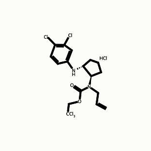 C=CCN(C(=O)OCC(Cl)(Cl)Cl)[C@@H]1CCC[C@H]1Nc1ccc(Cl)c(Cl)c1.Cl